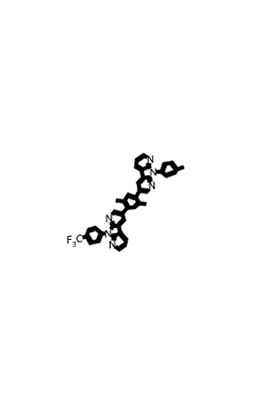 Cc1ccc(-n2c3ncccc3c3cc(-c4cc(C)c(-c5cnc6c(c5)c5cccnc5n6-c5ccc(C(F)(F)F)cc5)cc4C)cnc32)cc1